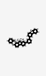 CC1(C)c2cc(-c3cccc(-c4ccc5sc6ccccc6c5c4)c3)ccc2-c2ccc3c(c21)Sc1ccccc1S3